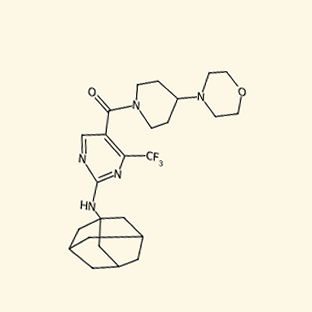 O=C(c1cnc(NC23CC4CC(CC(C4)C2)C3)nc1C(F)(F)F)N1CCC(N2CCOCC2)CC1